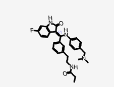 CCC(=O)NCCc1cccc(/C(Nc2ccc(CN(C)C)cc2)=C2/C(=O)Nc3cc(F)ccc32)c1